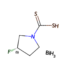 F[C@H]1CCN(C(=S)S)C1.[BiH3]